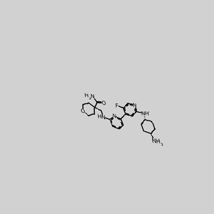 NC(=O)C1(CNc2cccc(-c3cc(N[C@H]4CC[C@H](N)CC4)ncc3F)n2)CCOCC1